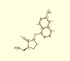 NC[C@@H]1CCN(Cc2cccc3nc(O)ccc23)C1=O